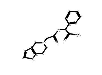 NC(=O)C(NC(=O)CN1CCc2sccc2C1)c1ccccc1